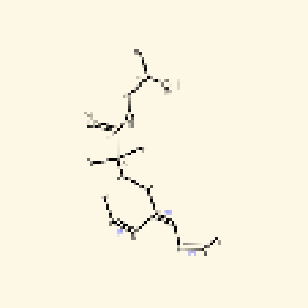 C\C=C/C=C(\C=C/C)CCC(C)(C)C(=O)OCC(C)O